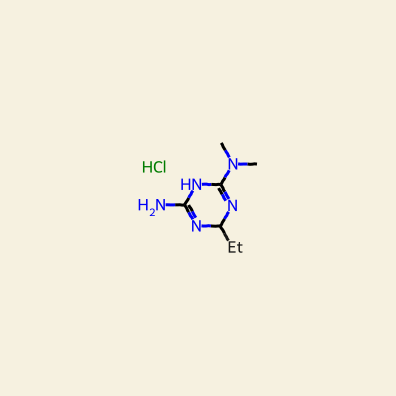 CCC1N=C(N)NC(N(C)C)=N1.Cl